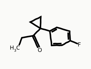 CCC(=O)C1(c2ccc(F)cc2)CC1